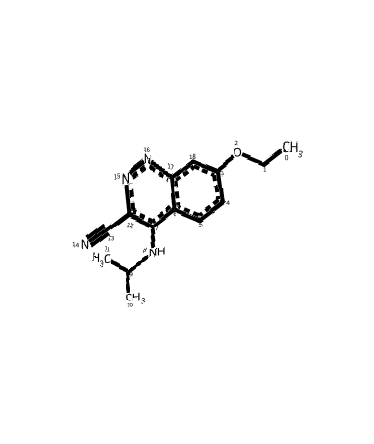 CCOc1ccc2c(NC(C)C)c(C#N)nnc2c1